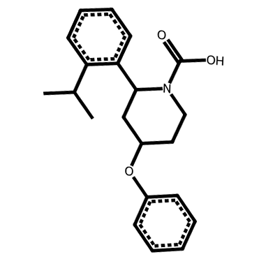 CC(C)c1ccccc1C1CC(Oc2ccccc2)CCN1C(=O)O